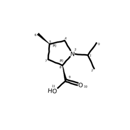 CC(C)N1C[C@H](C)C[C@@H]1C(=O)O